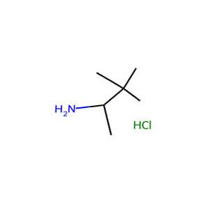 CC(N)C(C)(C)C.Cl